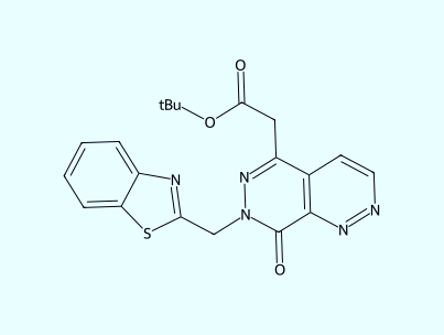 CC(C)(C)OC(=O)Cc1nn(Cc2nc3ccccc3s2)c(=O)c2nnccc12